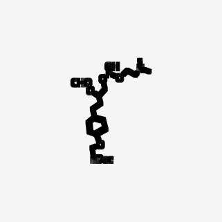 CCCCCCCCCCCOc1ccc(CCC(COP(O)OCCN(C)C)OC=O)cc1